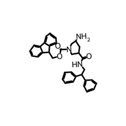 NC1CC(C(=O)NCC(c2ccccc2)c2ccccc2)CN(C(=O)OCC2c3ccccc3-c3ccccc32)C1